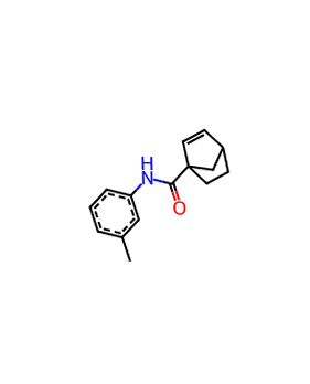 Cc1cccc(NC(=O)C23C=CC(CC2)C3)c1